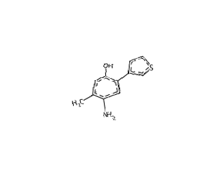 Cc1cc(O)c(-c2ccsc2)cc1N